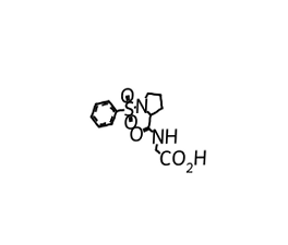 O=C(O)CNC(=O)C1CCCN1S(=O)(=O)c1ccccc1